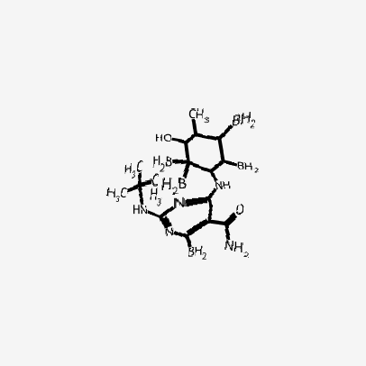 Bc1nc(NC(C)(C)C)nc(NC2C(B)C(B)C(C)C(O)C2(B)B)c1C(N)=O